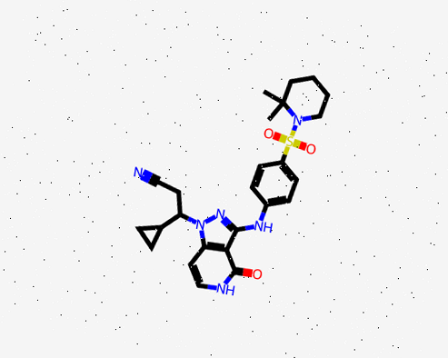 CC1(C)CCCCN1S(=O)(=O)c1ccc(Nc2nn(C(CC#N)C3CC3)c3cc[nH]c(=O)c23)cc1